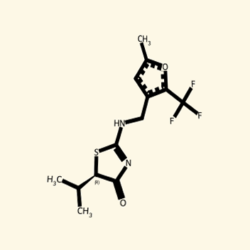 Cc1cc(CNC2=NC(=O)[C@@H](C(C)C)S2)c(C(F)(F)F)o1